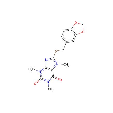 Cn1c(=O)c2c(nc(SCc3ccc4c(c3)OCO4)n2C)n(C)c1=O